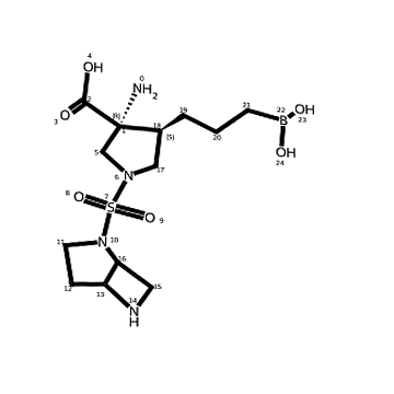 N[C@@]1(C(=O)O)CN(S(=O)(=O)N2CCC3NCC32)C[C@@H]1CCCB(O)O